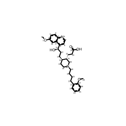 COc1ccc2nccc([C@H](O)CC[C@@H]3CCN(CCCCc4ccccc4OC)C[C@H]3CCC(=O)O)c2c1